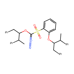 CC(C)CC(OC(=[N+]=[N-])S(=O)(=O)c1ccccc1OC(CC(C)C)C(C)C(C)C)C(C)C(C)C